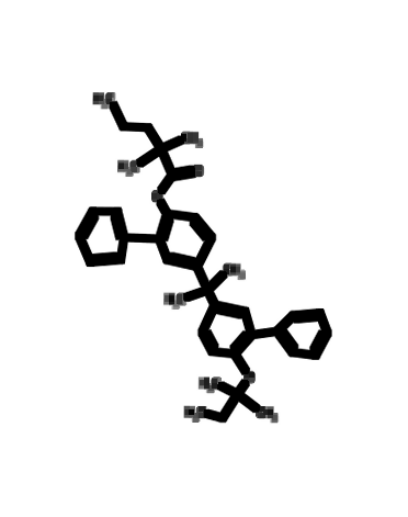 CCCC(C)(C)C(=O)Oc1ccc(C(C)(C)c2ccc(OC(C)(C)CC)c(-c3ccccc3)c2)cc1-c1ccccc1